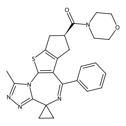 Cc1nnc2n1-c1sc3c(c1C(c1ccccc1)=NC21CC1)C[C@H](C(=O)N1CCOCC1)C3